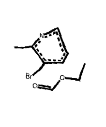 CCOC=O.Cc1ncccc1Br